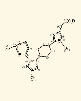 CCOC(=O)Nc1nc(C2CCN(c3cc(C)nn3-c3cccc(Cl)c3)CC2)c(C)[nH]1